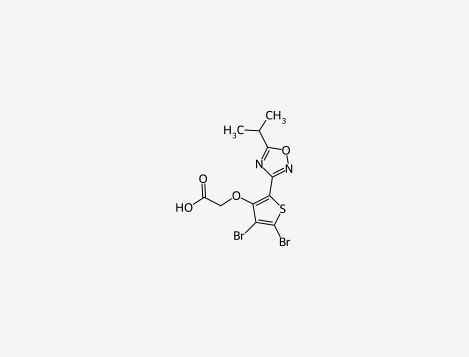 CC(C)c1nc(-c2sc(Br)c(Br)c2OCC(=O)O)no1